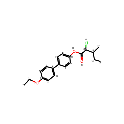 CCOc1ccc(-c2ccc(OC(=O)C(Cl)C(C)CC)cc2)cc1